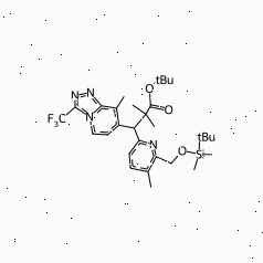 Cc1ccc(C(c2ccn3c(C(F)(F)F)nnc3c2C)C(C)(C)C(=O)OC(C)(C)C)nc1CO[Si](C)(C)C(C)(C)C